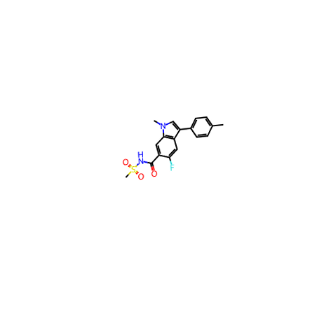 Cc1ccc(-c2cn(C)c3cc(C(=O)NS(C)(=O)=O)c(F)cc23)cc1